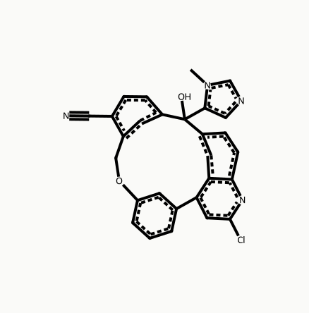 Cn1cncc1C1(O)c2ccc(C#N)c(c2)COc2cccc(c2)-c2cc(Cl)nc3ccc1cc23